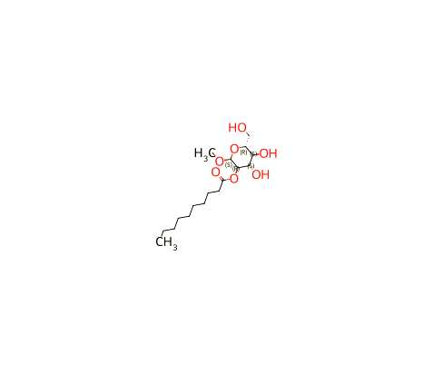 CCCCCCCCCC(=O)O[C@H]1[C@@H](OC)O[C@H](CO)[C@@H](O)[C@@H]1O